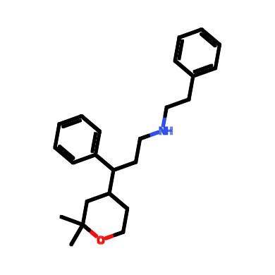 CC1(C)CC(C(CCNCCc2ccccc2)c2ccccc2)CCO1